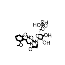 COc1cccc2onc(Cn3c(=O)ccn([C@@H]4O[C@H](COP(=O)(O)O)[C@H](O)[C@@H]4O)c3=O)c12